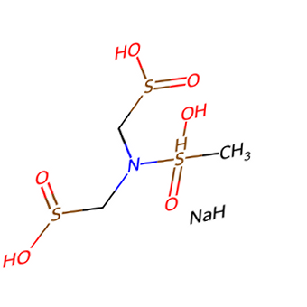 C[SH](=O)(O)N(CS(=O)O)CS(=O)O.[NaH]